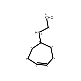 O=[C]CNC1CCC=CCC1